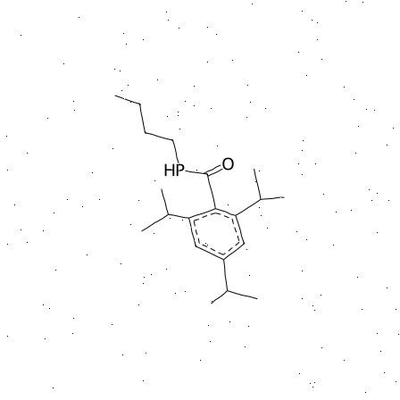 CCCCPC(=O)c1c(C(C)C)cc(C(C)C)cc1C(C)C